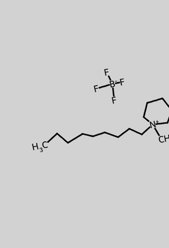 CCCCCCCCC[N+]1(C)CCCCC1.F[B-](F)(F)F